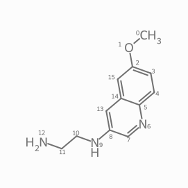 COc1ccc2ncc(NCCN)cc2c1